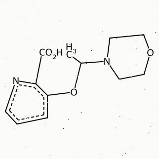 CC(Oc1cccnc1C(=O)O)N1CCOCC1